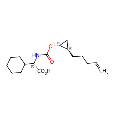 C=CCCC[C@@H]1C[C@H]1OC(=O)N[C@H](C(=O)O)C1CCCCC1